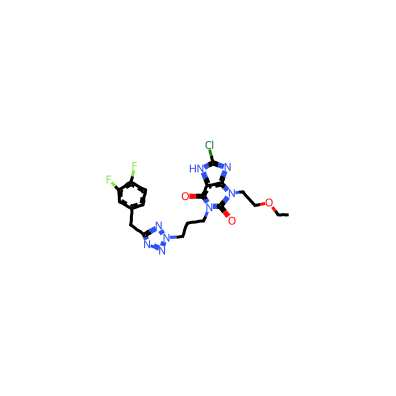 CCOCCn1c(=O)n(CCCn2nnc(Cc3ccc(F)c(F)c3)n2)c(=O)c2[nH]c(Cl)nc21